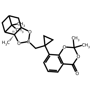 CC1(C)OC(=O)c2cccc(C3(CB4OC5CC6CC(C6(C)C)[C@]5(C)O4)CC3)c2O1